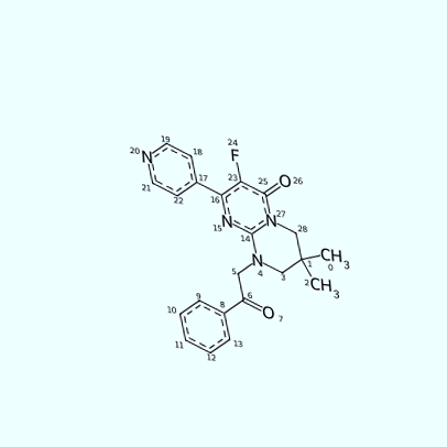 CC1(C)CN(CC(=O)c2ccccc2)c2nc(-c3ccncc3)c(F)c(=O)n2C1